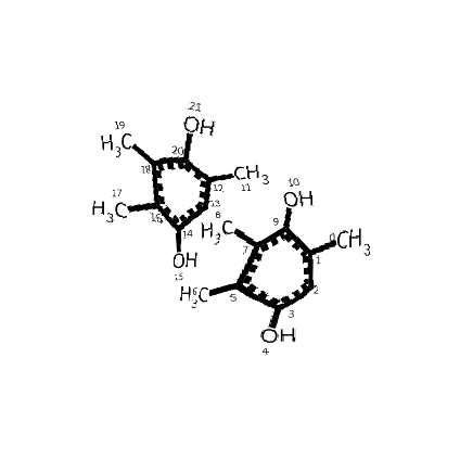 Cc1cc(O)c(C)c(C)c1O.Cc1cc(O)c(C)c(C)c1O